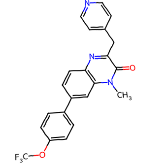 Cn1c(=O)c(Cc2ccncc2)nc2ccc(-c3ccc(OC(F)(F)F)cc3)cc21